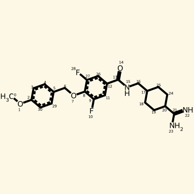 COc1ccc(COc2c(F)cc(C(=O)NCC3CCC(C(=N)N)CC3)cc2F)cc1